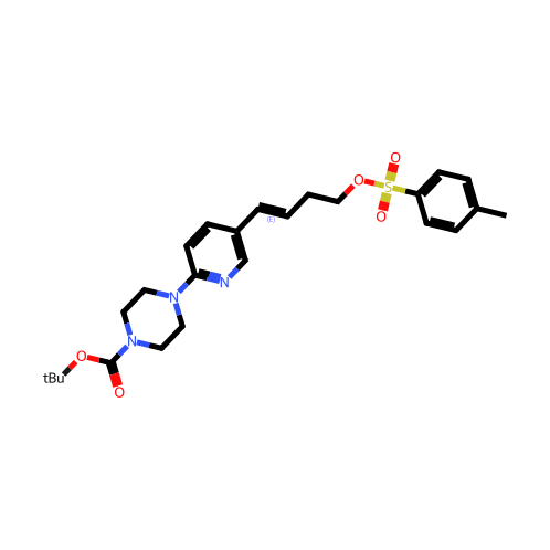 Cc1ccc(S(=O)(=O)OCC/C=C/c2ccc(N3CCN(C(=O)OC(C)(C)C)CC3)nc2)cc1